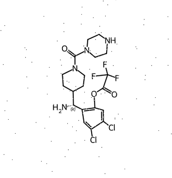 N[C@@H](c1cc(Cl)c(Cl)cc1OC(=O)C(F)(F)F)C1CCN(C(=O)N2CCNCC2)CC1